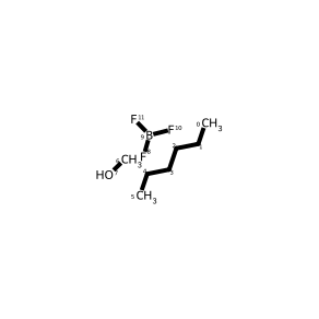 CCCCCC.CO.FB(F)F